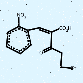 CC(C)CCC(=O)C(=Cc1ccccc1[N+](=O)[O-])C(=O)O